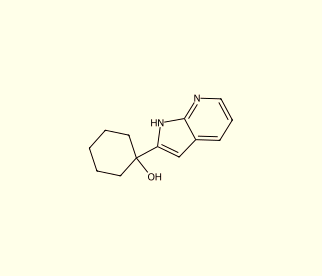 OC1(c2cc3cccnc3[nH]2)CCCCC1